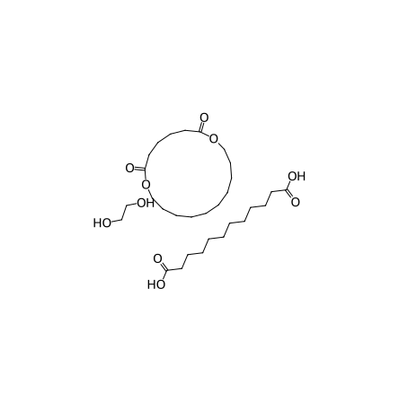 O=C(O)CCCCCCCCCCC(=O)O.O=C1CCCCC(=O)OCCCCCCCCCCO1.OCCO